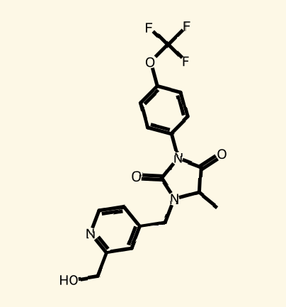 CC1C(=O)N(c2ccc(OC(F)(F)F)cc2)C(=O)N1Cc1ccnc(CO)c1